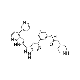 O=C(CC1CCNCC1)Nc1cncc(-c2cc3c(-c4cc5c(-c6cccnc6)ccnc5[nH]4)n[nH]c3cn2)c1